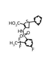 CC(F)(F)c1cc(F)ccc1S(=O)(=O)NC1=C(C(=O)O)SC(c2ccccc2)C1